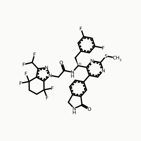 CSc1ncc(-c2ccc3c(c2)C(=O)NC3)c([C@H](Cc2cc(F)cc(F)c2)NC(=O)Cn2nc(C(F)F)c3c2C(F)(F)CCC3(F)F)n1